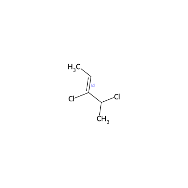 C/C=C(\Cl)C(C)Cl